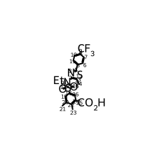 CCN(c1nc(-c2ccc(C(F)(F)F)cc2)sc1C)S(=O)(=O)c1cc(C)c(C)c(C(=O)O)c1